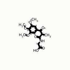 COc1cc(C(=O)C(C)C(=O)NCC(=O)O)cc(OC)c1OC